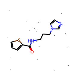 O=C(NCCCn1ccnc1)c1cccs1